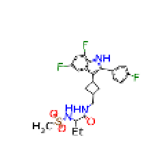 CCC(NS(C)(=O)=O)C(=O)NC[C@H]1C[C@@H](c2c(-c3ccc(F)cc3)[nH]c3c(F)cc(F)cc32)C1